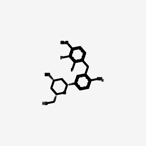 COc1ccc(Cc2cc([C@H]3C[C@@H](O)C[C@@H](CO)O3)ccc2N)c(F)c1F